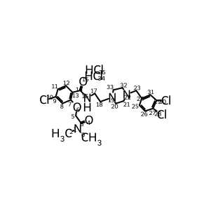 CN(C)C(=O)COc1cc(Cl)ccc1C(=O)NCCN1CCN(Cc2ccc(Cl)c(Cl)c2)CC1.Cl.Cl